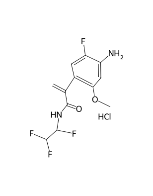 C=C(C(=O)NC(F)C(F)F)c1cc(F)c(N)cc1OC.Cl